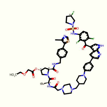 Cc1ncsc1-c1ccc(CNC(=O)[C@@H]2C[C@@H](OC(=O)COCC(=O)O)CN2C(=O)[C@@H](NC(=O)CN2CCN(CC3CCN(c4ccc(-c5cnc6[nH]cc(C(=O)c7c(F)ccc(NS(=O)(=O)N8CC[C@@H](F)C8)c7F)c6c5)cc4)CC3)CC2)C(C)(C)C)cc1